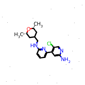 C[C@@H]1CC(CNc2cccc(-c3cc(N)ncc3Cl)n2)C[C@H](C)O1